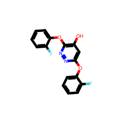 Oc1cc(Oc2ccccc2F)nnc1Oc1ccccc1F